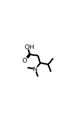 CC(C)C(CC(=O)O)N(C)C